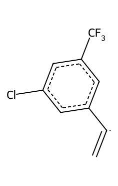 C=[C]c1cc(Cl)cc(C(F)(F)F)c1